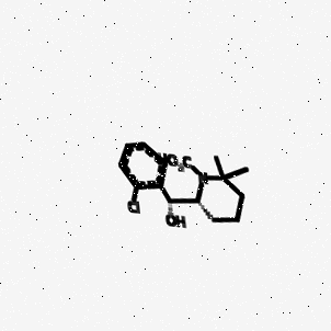 CC1(C)CCC[C@H]([C@H](O)c2ccccc2Cl)N1C(=O)O